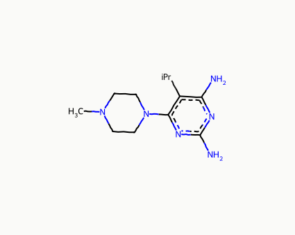 CC(C)c1c(N)nc(N)nc1N1CCN(C)CC1